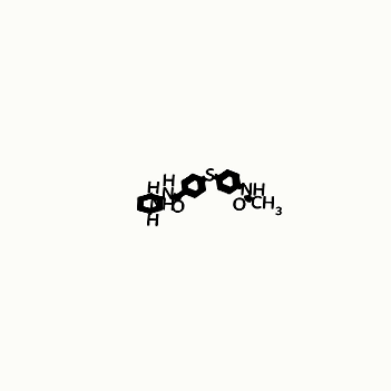 CC(=O)Nc1ccc(Sc2ccc(C(=O)N[C@@H]3C[C@H]4CC[C@@H]3N4)cc2)cc1